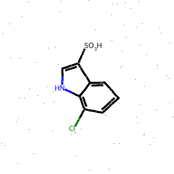 O=S(=O)(O)c1c[nH]c2c(Cl)cccc12